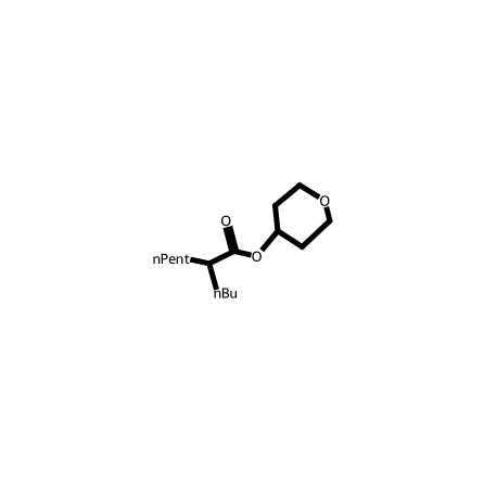 CCCCCC(CCCC)C(=O)OC1CCOCC1